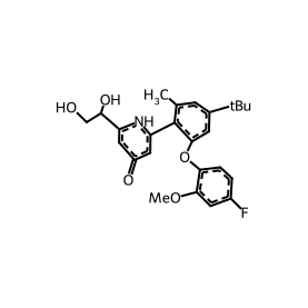 COc1cc(F)ccc1Oc1cc(C(C)(C)C)cc(C)c1-c1cc(=O)cc(C(O)CO)[nH]1